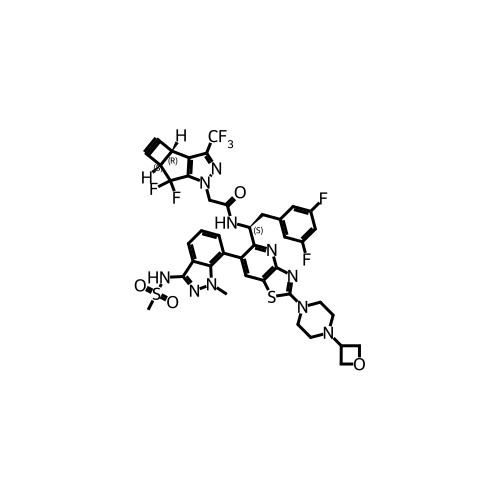 Cn1nc(NS(C)(=O)=O)c2cccc(-c3cc4sc(N5CCN(C6COC6)CC5)nc4nc3[C@H](Cc3cc(F)cc(F)c3)NC(=O)Cn3nc(C(F)(F)F)c4c3C(F)(F)[C@@H]3C#C[C@H]43)c21